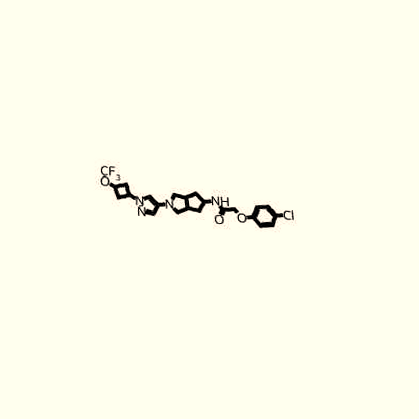 O=C(COc1ccc(Cl)cc1)NC1CC2CN(c3cnn(C4CC(OC(F)(F)F)C4)c3)CC2C1